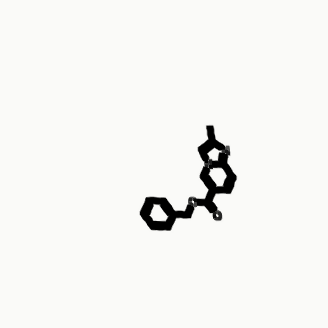 Cc1cn2cc(C(=O)OCc3ccccc3)ccc2n1